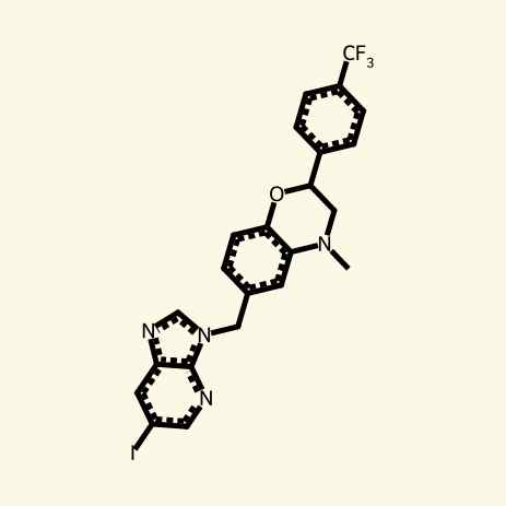 CN1CC(c2ccc(C(F)(F)F)cc2)Oc2ccc(Cn3cnc4cc(I)cnc43)cc21